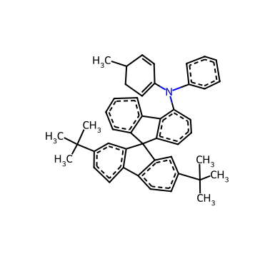 CC1C=CC(N(c2ccccc2)c2cccc3c2-c2ccccc2C32c3cc(C(C)(C)C)ccc3-c3ccc(C(C)(C)C)cc32)=CC1